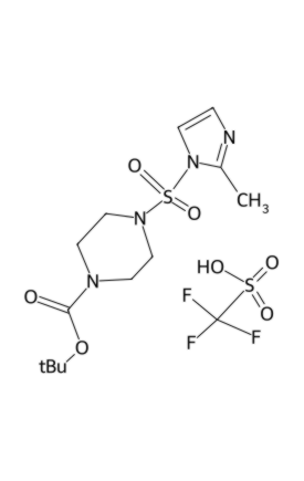 Cc1nccn1S(=O)(=O)N1CCN(C(=O)OC(C)(C)C)CC1.O=S(=O)(O)C(F)(F)F